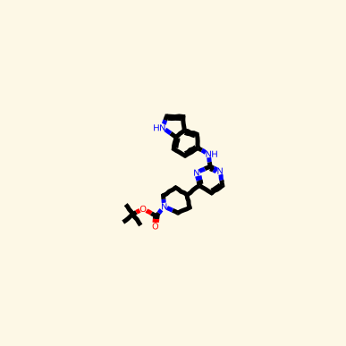 CC(C)(C)OC(=O)N1CCC(c2ccnc(Nc3ccc4[nH]ccc4c3)n2)CC1